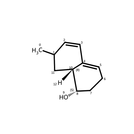 CC1C=CC2=CCC[C@H](O)[C@@H]2C1